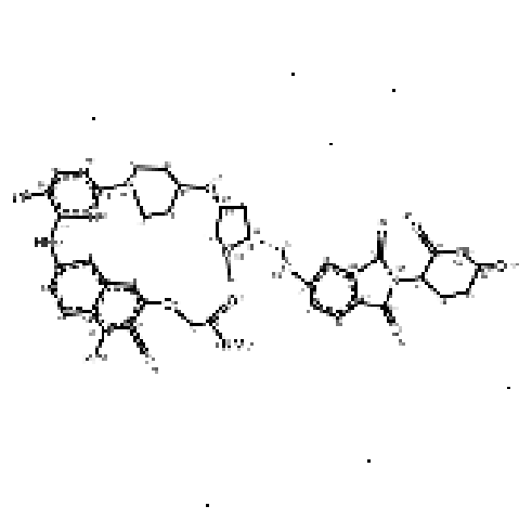 CNC(=O)COc1cc2cc(Nc3nc(N4CCC(O[C@H]5C[C@H](COc6ccc7c(c6)C(=O)N(C6CCC(=O)NC6=O)C7=O)N(C)C5)CC4)ncc3Cl)ccc2n(C(C)C)c1=O